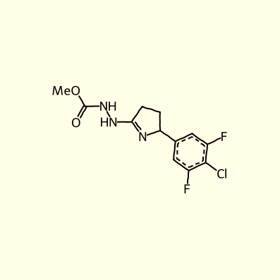 COC(=O)NNC1=NC(c2cc(F)c(Cl)c(F)c2)CC1